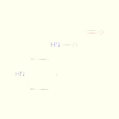 O=CON[C@@H]1CCCNC1